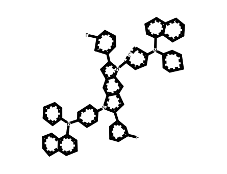 Fc1cccc(-c2cc3cc4c(cc(-c5cccc(F)c5)n4-c4ccc(N(c5ccccc5)c5cccc6ccccc56)cc4)cc3n2-c2ccc(N(c3ccccc3)c3cccc4ccccc34)cc2)c1